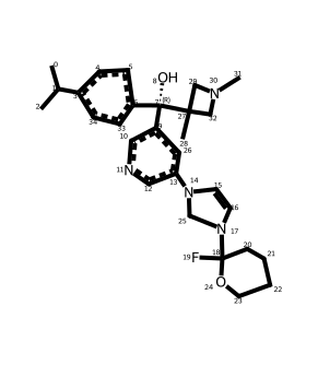 CC(C)c1ccc([C@](O)(c2cncc(N3C=CN(C4(F)CCCCO4)C3)c2)C2(C)CN(C)C2)cc1